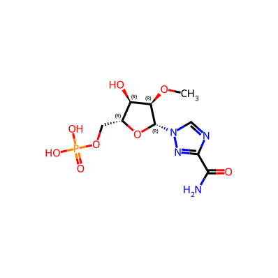 CO[C@@H]1[C@H](O)[C@@H](COP(=O)(O)O)O[C@H]1n1cnc(C(N)=O)n1